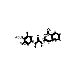 CC(=O)Oc1c(C)cc(NC(=O)Nc2cc3ccccc3c(=O)o2)cc1C